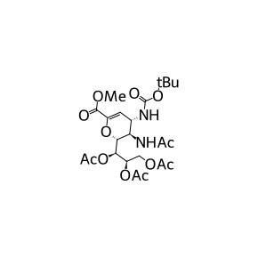 COC(=O)C1=C[C@H](NC(=O)OC(C)(C)C)[C@@H](NC(C)=O)[C@H]([C@H](OC(C)=O)[C@@H](COC(C)=O)OC(C)=O)O1